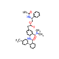 CCCC(=O)N[C@H](COC(=O)Cc1ccc(NC(=O)c2ccccc2-c2ccc(C(F)(F)F)cc2)c(C(=O)N(C)C)c1)c1ccccc1